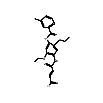 CCOc1cc(NC(=O)c2cccc(Cl)c2)c(OCC)cc1NC(=O)/C=C/C(=O)O